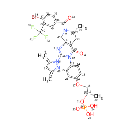 Cc1cc(C)n(-c2nc3c(c(=O)n2-c2ccc(OC[C@H](C)OP(=O)(O)O)cc2)C[C@@H](C)N(C(=O)c2ccc(Br)c(C(F)(F)F)c2)C3)n1